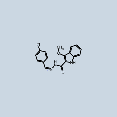 COc1c(C(=O)N/N=C\c2ccc(Cl)cc2)[nH]c2ccccc12